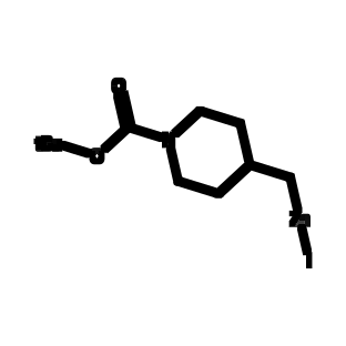 CC(C)(C)OC(=O)N1CCC([CH2][Zn][I])CC1